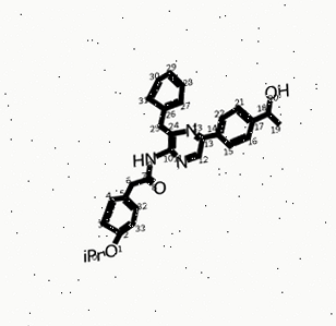 CC(C)Oc1ccc(CC(=O)Nc2ncc(-c3ccc(C(C)O)cc3)nc2Cc2ccccc2)cc1